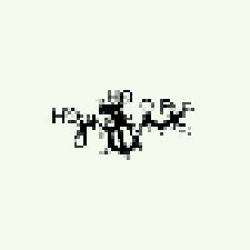 O=C(CC(F)(F)F)N1CC2CC3C(O)C1C(C2)N3C(=O)O